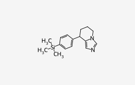 C[Si](C)(C)c1ccc(C2CCCn3cncc32)cc1